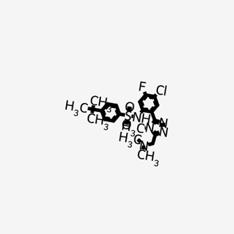 CN(C)Cc1nnc(-c2cc(Cl)c(F)cc2NS(=O)(=O)c2ccc(C(C)(C)C)cc2)n1C